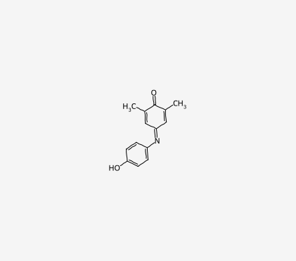 CC1=CC(=Nc2ccc(O)cc2)C=C(C)C1=O